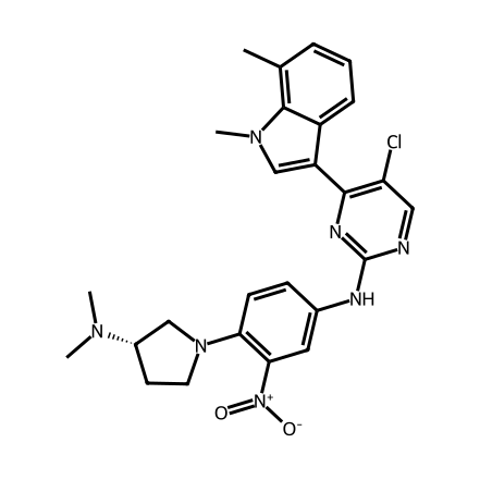 Cc1cccc2c(-c3nc(Nc4ccc(N5CC[C@H](N(C)C)C5)c([N+](=O)[O-])c4)ncc3Cl)cn(C)c12